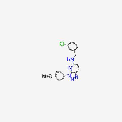 COc1ccc(-n2nnc3ccc(NCc4cccc(Cl)c4)nc32)cc1